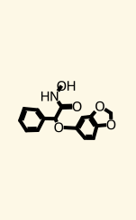 O=C(NO)C(Oc1ccc2c(c1)OCO2)c1ccccc1